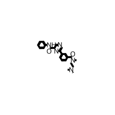 CN(C)CCN(C)C(=O)c1cccc(-c2cncc(C(=O)Nc3ccccc3)n2)c1